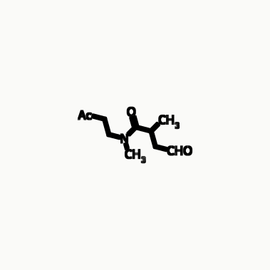 CC(=O)CCN(C)C(=O)C(C)CC=O